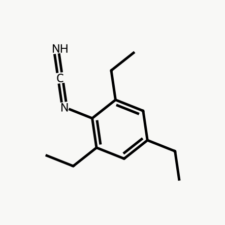 CCc1cc(CC)c(N=C=N)c(CC)c1